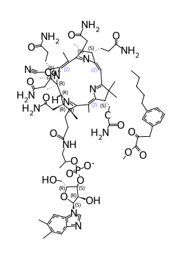 C/C1=C2N=C(/C=C3N=C(/C(C)=C4/[C@@H](CCC(N)=O)[C@](C)(CC(N)=O)[C@](C)([C@@H]5N=C1[C@](C)(CCC(=O)NCC(C)OP(=O)([O-])O[C@H]1[C@@H](O)[C@@H](n6cnc7cc(C)c(C)cc76)O[C@@H]1CO)[C@H]5CC(N)=O)[N]4[Co+][C]#N)[C@@](C)(CC(N)=O)[C@@H]\3CCC(N)=O)C(C)(C)[C@@H]/2CCC(N)=O.CCCCCc1cccc(CC(=O)C(=O)OC)c1